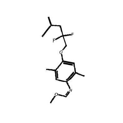 CO/C=N\c1cc(C)c(OCC(F)(F)CC(C)C)cc1C